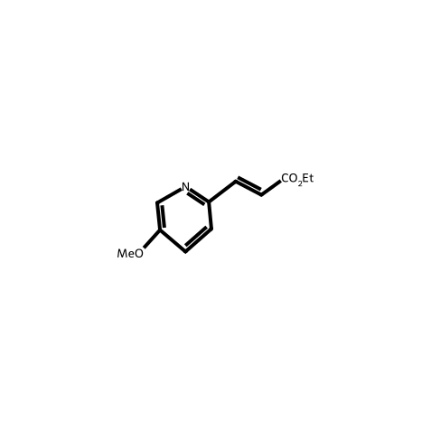 CCOC(=O)C=Cc1ccc(OC)cn1